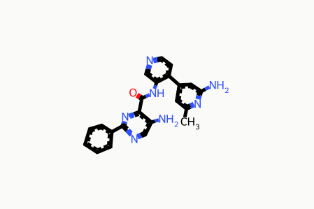 Cc1cc(-c2ccncc2NC(=O)c2nc(-c3ccccc3)ncc2N)cc(N)n1